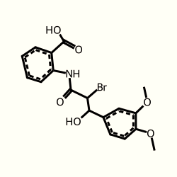 COc1ccc(C(O)C(Br)C(=O)Nc2ccccc2C(=O)O)cc1OC